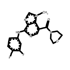 Cn1cnc2c(Nc3ccc(F)c(F)c3)ncc(C(=O)N3CCOCC3)c21